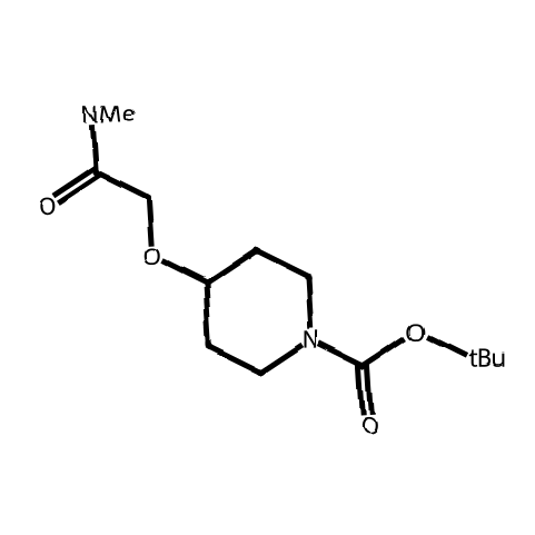 CNC(=O)COC1CCN(C(=O)OC(C)(C)C)CC1